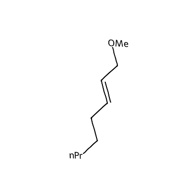 [CH2]OCC=CCCCCC